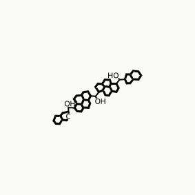 OC(c1ccc2ccccc2c1)c1ccc2ccc3c(C(O)c4ccc5ccc6c(C(O)c7ccc8ccccc8c7)ccc7ccc4c5c76)ccc4ccc1c2c43